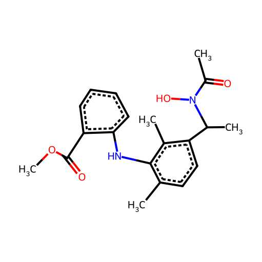 COC(=O)c1ccccc1Nc1c(C)ccc(C(C)N(O)C(C)=O)c1C